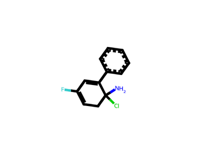 NC1(Cl)CC=C(F)C=C1c1ccccc1